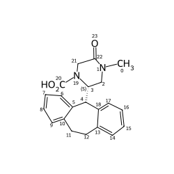 CN1C[C@H](C2c3ccccc3CCc3ccccc32)N(C(=O)O)CC1=O